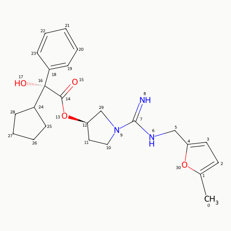 Cc1ccc(CNC(=N)N2CC[C@@H](OC(=O)[C@](O)(c3ccccc3)C3CCCC3)C2)o1